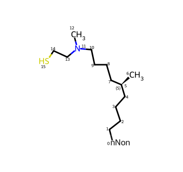 CCCCCCCCCCCCC[C@H](C)CCCCN(C)CCS